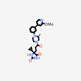 COc1cc(-c2cccc(N3CCN(C(=O)CCC4(C5CC5)NC(=O)NC4=O)C[C@@H]3C)c2)ccn1